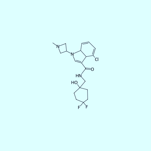 CN1CC(N2C=C(C(=O)NCC3(O)CCC(F)(F)CC3)C3C(Cl)=CC=CC32)C1